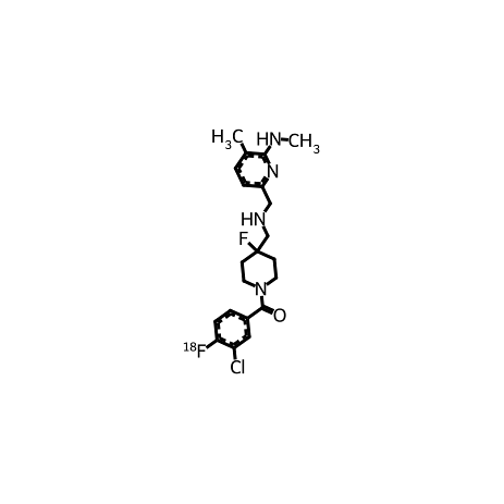 CNc1nc(CNCC2(F)CCN(C(=O)c3ccc([18F])c(Cl)c3)CC2)ccc1C